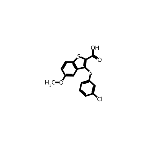 COc1ccc2sc(C(=O)O)c(Sc3cccc(Cl)c3)c2c1